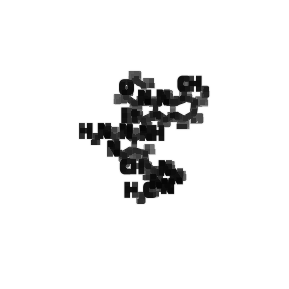 CCC(Nc1nc(N)nc(C)c1C=Cc1nnnn1C)c1cc2cccc(C)c2nc1N1CCOCC1